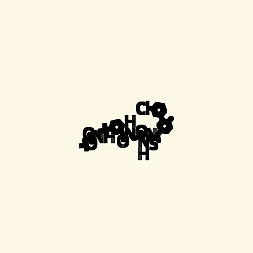 Cc1ccc(-c2csc(NC(=O)CNC(=O)c3cccc(C(C)(C)CNC(=O)OC(C)(C)C)c3)n2)cc1-c1cccc(Cl)c1